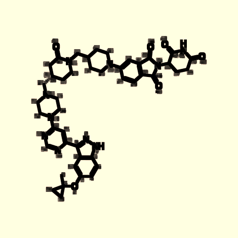 CC1(Oc2ccc3[nH]nc(-c4cc(N5CCN(C[C@H]6CCN(CC7CCN(c8ccc9c(c8)C(=O)N(C8CCC(=O)NC8=O)C9=O)CC7)C(=O)C6)CC5)ncn4)c3c2)CC1